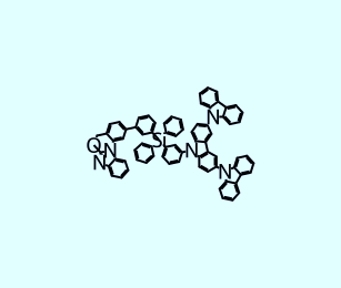 c1ccc([Si](c2ccccc2)(c2cccc(-c3ccc4c(c3)-n3c(nc5ccccc53)OC4)c2)c2cccc(-n3c4ccc(-n5c6ccccc6c6ccccc65)cc4c4cc(-n5c6ccccc6c6ccccc65)ccc43)c2)cc1